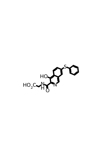 O=C(O)CNC(=O)c1ncc2cc(Sc3ccccc3)ccc2c1O